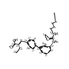 CCCCCNC(=O)N(C)c1cccc(-c2ccc(/C=C(\CC)C(=O)O)cc2)c1